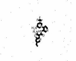 CCc1cnc2c(C(=O)Nc3cnccc3N3C[C@@H](N)C[C@@H](C(F)(F)F)C3)c(N)oc2c1